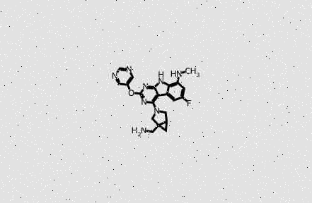 CNc1cc(F)cc2c1[nH]c1nc(Oc3cncnc3)nc(N3CC4CC4(CN)C3)c12